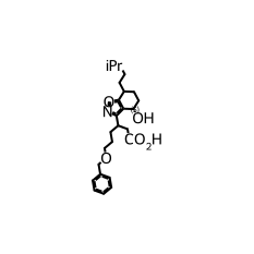 CC(C)CCC1CC[C@H](O)c2c(C(CCCOCc3ccccc3)CC(=O)O)noc21